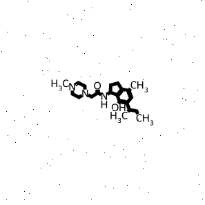 CCC(C)c1cc(C)c2c(c1O)C(NC(=O)CN1CCN(C)CC1)CC2